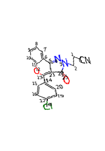 N#CCCn1nc2c3ccccc3oc(-c3ccc(Cl)cc3)c-2c1=O